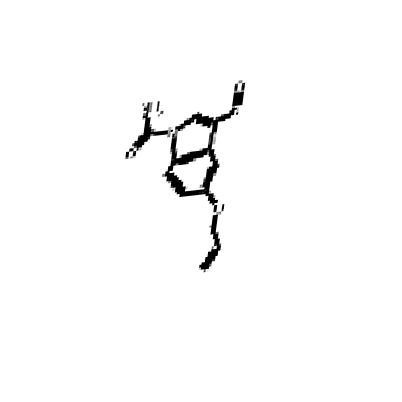 C=CCOc1ccc2c(c1)c(N=O)cn2C(N)=O